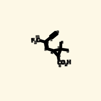 C#CC(=CC1C(C(=O)O)C1(C)C)C(F)(F)F